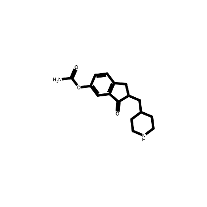 NC(=O)Oc1ccc2c(c1)C(=O)C(CC1CCNCC1)C2